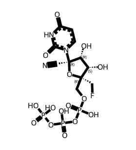 N#C[C@@]1(n2ccc(=O)[nH]c2=O)O[C@](CF)(COP(=O)(O)OP(=O)(O)OP(=O)(O)O)[C@@H](O)[C@H]1O